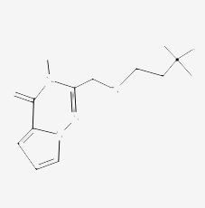 Cn1c(CNCCC(F)(F)F)nn2cccc2c1=O